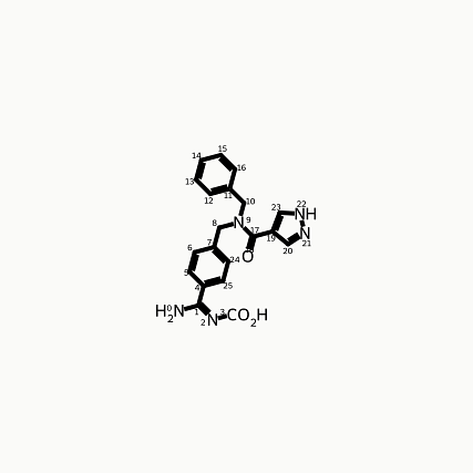 N/C(=N/C(=O)O)c1ccc(CN(Cc2ccccc2)C(=O)c2cn[nH]c2)cc1